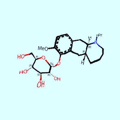 CCCN1CCC[C@@H]2Cc3c(ccc(OC)c3O[C@@H]3O[C@H](CO)[C@@H](O)[C@H](O)[C@H]3O)C[C@H]21